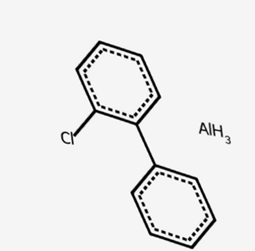 Clc1ccccc1-c1ccccc1.[AlH3]